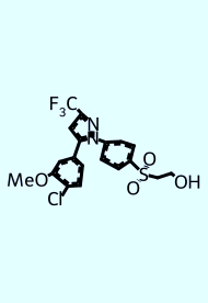 COc1cc(-c2cc(C(F)(F)F)nn2-c2ccc(S(=O)(=O)CCO)cc2)ccc1Cl